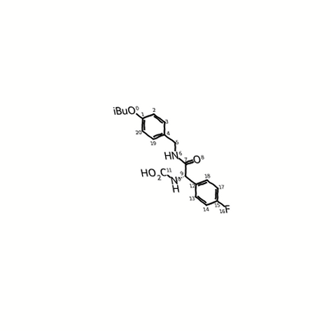 CC(C)COc1ccc(CNC(=O)[C@@H](NC(=O)O)c2ccc(F)cc2)cc1